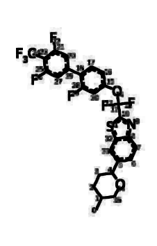 CC1CCC(c2ccc3nc(C(F)(F)Oc4ccc(-c5cc(F)c(C(F)(F)F)c(F)c5)c(F)c4)sc3c2)OC1